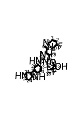 Fc1ccc2ncc(-c3nc(Nc4ccc5[nH]c6c(c5c4)CNCC6)ncc3F)n2c1.O=C(O)C(F)(F)F